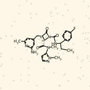 CCC(NC(=O)N1C(=O)[C@H](Cc2cc(C)nc(N)c2)[C@H]1C(=O)N(C)c1ccnn1C)c1ccc(F)cc1